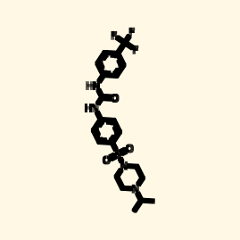 CC(C)N1CCN(S(=O)(=O)c2ccc(NC(=O)Nc3ccc(C(F)(F)F)cc3)cc2)CC1